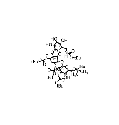 CC(C)(C)OC(=O)NCC1O[C@H](O[C@@H]2C(NC(=O)OC(C)(C)C)C[C@@H](NC(=O)OC(C)(C)C)[C@@H](O[C@H]3OC(CO[Si](C)(C)C(C)(C)C)[C@@H](O)[C@@H](NC(=O)OC(C)(C)C)C3O)C2O)[C@@H](O)C(O)[C@@H]1O